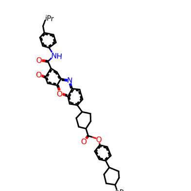 CCCCCC1CCC(c2ccc(OC(=O)C3CCC(c4ccc5nc6cc(C(=O)Nc7ccc(CC(C)C)cc7)c(=O)cc-6oc5c4)CC3)cc2)CC1